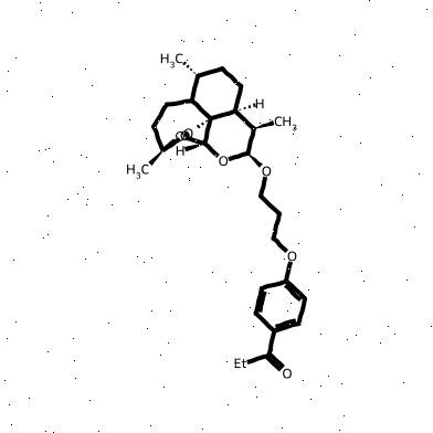 CCC(=O)c1ccc(OCCCO[C@H]2O[C@@H]3O[C@@]4(C)CCC5[C@H](C)CC[C@@H]([C@H]2C)[C@]53OO4)cc1